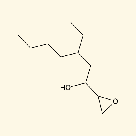 CCCCC(CC)CC(O)C1CO1